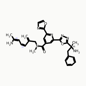 C=C(/C=C\C=C(\C)N)CN(C)C(=O)c1cc(-c2ncco2)nc(-c2nnc([C@](C)(N)Cc3ccccc3)o2)c1